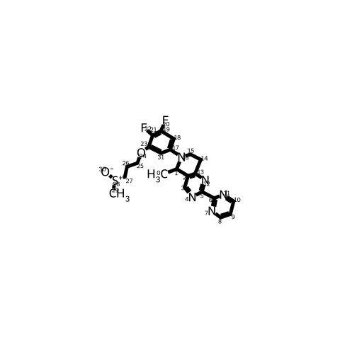 CC1c2cnc(-c3ncccn3)nc2CCN1c1cc(F)c(F)c(OCCC[S+](C)[O-])c1